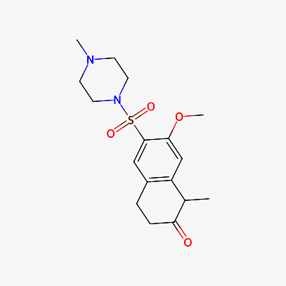 COc1cc2c(cc1S(=O)(=O)N1CCN(C)CC1)CCC(=O)C2C